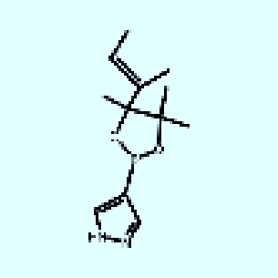 C/C=C(\C)C1(C)OB(c2cn[nH]c2)OC1(C)C